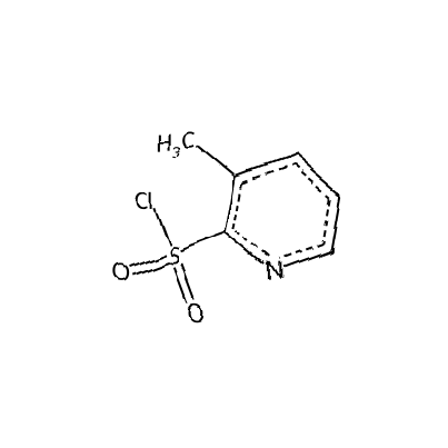 Cc1cccnc1S(=O)(=O)Cl